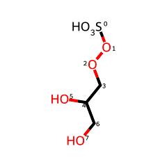 O=S(=O)(O)OOCC(O)CO